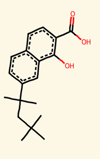 CC(C)(C)CC(C)(C)c1ccc2ccc(C(=O)O)c(O)c2c1